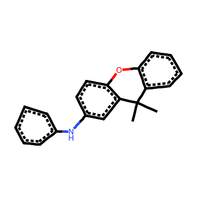 CC1(C)c2ccccc2Oc2ccc(Nc3ccccc3)cc21